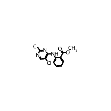 COC(=O)c1ccccc1Nc1nc(Cl)ncc1Cl